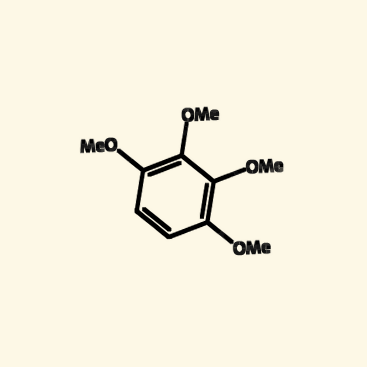 COc1ccc(OC)c(OC)c1OC